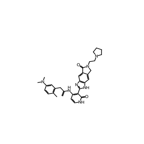 C=C(Cc1cc(N(C)C)ccc1C)Nc1cc[nH]c(=O)c1-c1nc2cc3c(cc2[nH]1)CN(CCN1CCCC1)C3=O